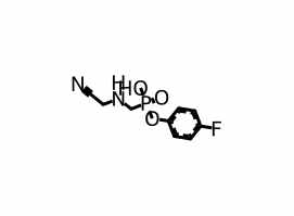 N#CCNCP(=O)(O)Oc1ccc(F)cc1